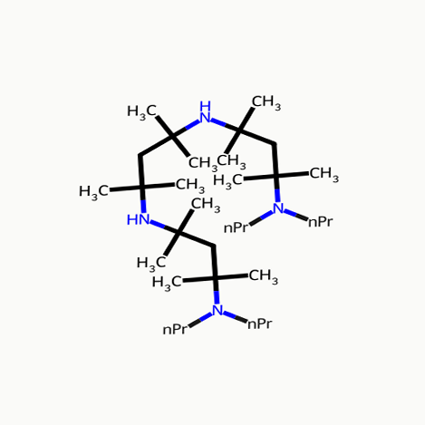 CCCN(CCC)C(C)(C)CC(C)(C)NC(C)(C)CC(C)(C)NC(C)(C)CC(C)(C)N(CCC)CCC